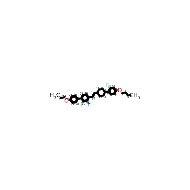 CCCCOc1ccc(C2CCC(/C=C/c3ccc(-c4ccc(OCCC)cc4)c(F)c3F)CC2)c(F)c1